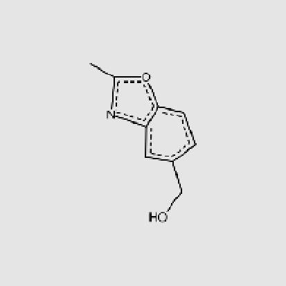 Cc1nc2cc(CO)ccc2o1